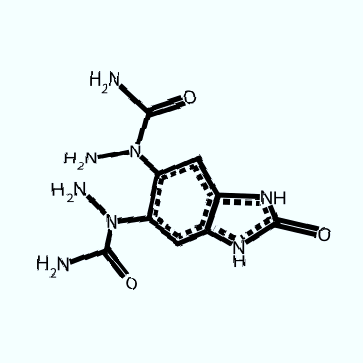 NC(=O)N(N)c1cc2[nH]c(=O)[nH]c2cc1N(N)C(N)=O